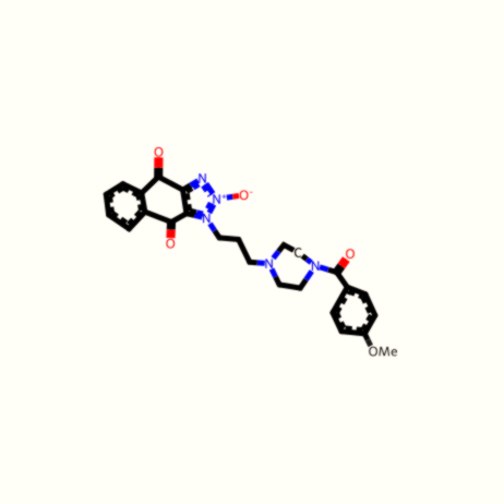 COc1ccc(C(=O)N2CCN(CCCn3c4c(n[n+]3[O-])C(=O)c3ccccc3C4=O)CC2)cc1